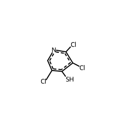 Sc1c(Cl)cnc(Cl)c1Cl